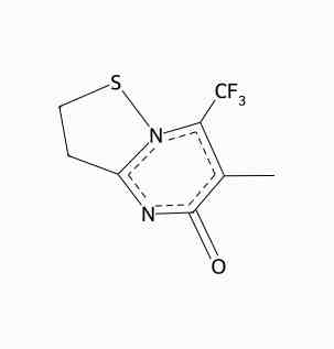 Cc1c(C(F)(F)F)n2c(nc1=O)CCS2